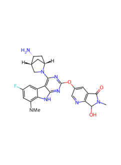 CNc1cc(F)cc2c1[nH]c1nc(Oc3cnc4c(c3)C(=O)N(C)C4O)nc(N3C[C@H]4C[C@@H]3C[C@H]4N)c12